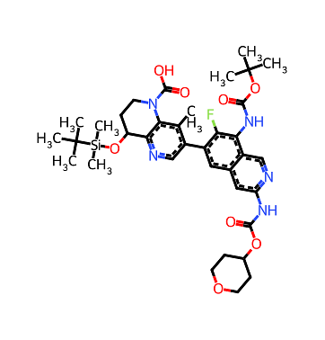 Cc1c(-c2cc3cc(NC(=O)OC4CCOCC4)ncc3c(NC(=O)OC(C)(C)C)c2F)cnc2c1N(C(=O)O)CCC2O[Si](C)(C)C(C)(C)C